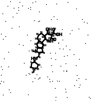 CN1CCC(NCc2cc3cc4c(cc3n2C)CCCc2c-4[nH]c(=O)c(C(=O)O)c2O)CC1